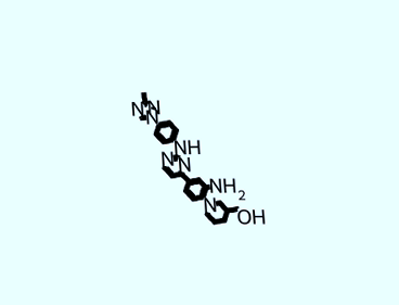 Cc1ncn(-c2ccc(Nc3nccc(-c4ccc(N5CCCC(CO)C5)c(N)c4)n3)cc2)n1